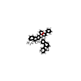 CC1(C)c2ccccc2-c2cc(-c3ccccc3)c(N(c3ccc(-c4ccccc4)cc3)c3ccc4c(ccc5oc6ccncc6c54)c3)cc21